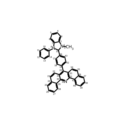 CN1c2ccccc2N(c2ccccc2)C1c1ccc(-c2c3ccc4ccccc4c3nc3c2ccc2ccccc23)cc1